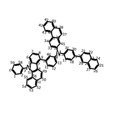 c1ccc(-n2c3cccc(-c4cccc(N(c5ccc(-c6ccc7ccccc7c6)cc5)c5ccc6c(ccc7ccccc76)c5)c4)c3c3ccc4ccccc4c32)cc1